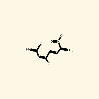 C=C(/C=C/C(Cl)=N\C(=N)Cl)[N+](=O)[O-]